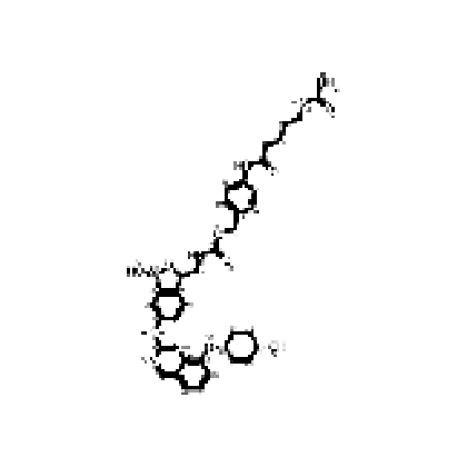 NC(=O)NCCCCC(=O)Nc1ccc(COC(=O)NCC2OB(O)c3cc(Nc4ncc5cccc(O[C@H]6CC[C@@H](O)CC6)c5n4)ccc32)cc1